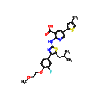 COCCOc1ccc(-c2nc(Nc3ncc(-c4cc(C)cs4)cc3C(=O)O)sc2CC(C)C)cc1F